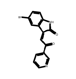 O=C1Nc2ccc(Br)cc2C1=CC(=O)c1cccnc1